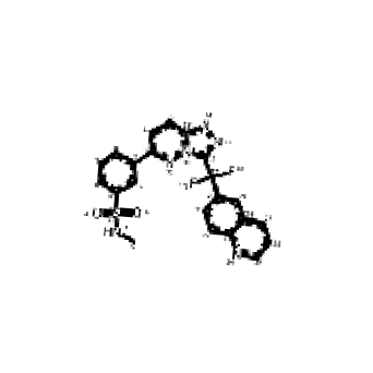 CNS(=O)(=O)c1cccc(-c2ccc3nnc(C(F)(F)c4ccc5ncccc5c4)n3n2)c1